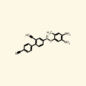 C#Cc1cc(NSc2cc(N)c(N)cc2C)ccc1-c1ccc(C#N)cc1